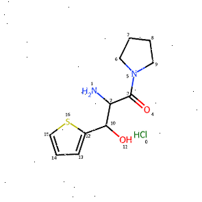 Cl.NC(C(=O)N1CCCC1)C(O)c1cccs1